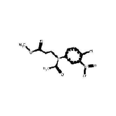 COC(=O)CCN(C(C)=O)c1ccc(Cl)c([N+](=O)[O-])c1